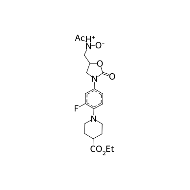 CCOC(=O)C1CCN(c2ccc(N3CC(C[N@H+]([O-])C(C)=O)OC3=O)cc2F)CC1